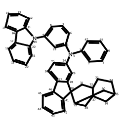 c1ccc(N(c2cccc(-n3c4ccccc4c4ccccc43)c2)c2ccc3c(c2)C2(CC4CCC5CC4CC2C5)c2ccccc2-3)cc1